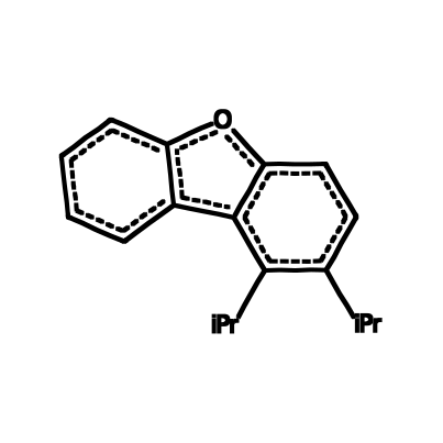 CC(C)c1ccc2oc3ccccc3c2c1C(C)C